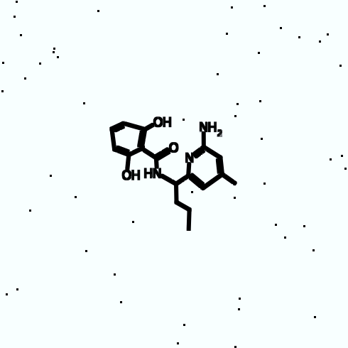 CCCC(NC(=O)c1c(O)cccc1O)c1cc(C)cc(N)n1